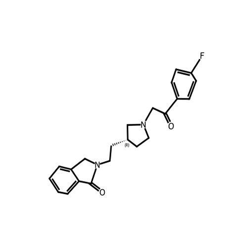 O=C(CN1CC[C@H](CCN2Cc3ccccc3C2=O)C1)c1ccc(F)cc1